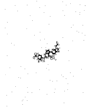 CNc1nc(NC2CCN(C(C)=O)CC2(F)F)nn2ccc(-c3ccc4ncn(CCF)c4n3)c12